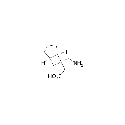 NC[C@]1(CC(=O)O)C[C@H]2CCC[C@H]21